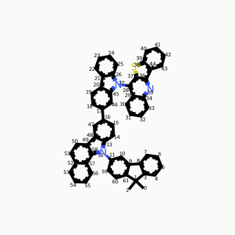 CC1(C)c2ccccc2-c2cc(-n3c4ccc(-c5ccc6c7ccccc7n(-c7c8ccccc8nc8c7sc7ccccc78)c6c5)cc4c4ccc5ccccc5c43)ccc21